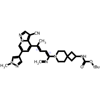 C=N/C(=C\C=C(/C)c1cc(-c2cnn(C)c2)cn2ncc(C#N)c12)N1CCC2(CC1)CC(NC(=O)OC(C)(C)C)C2